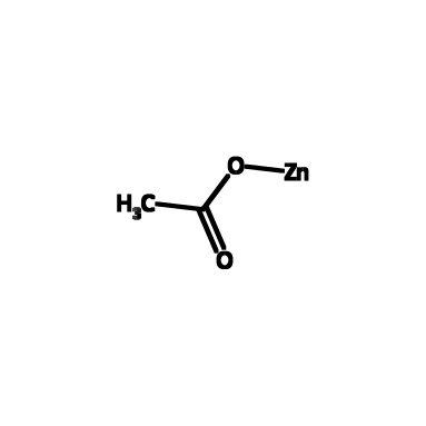 CC(=O)[O][Zn]